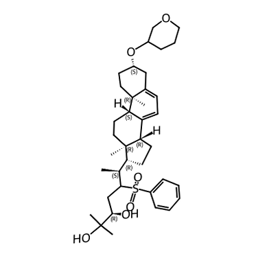 C[C@H](C(C[C@@H](O)C(C)(C)O)S(=O)(=O)c1ccccc1)[C@H]1CC[C@H]2C3=CC=C4C[C@@H](OC5CCCOC5)CC[C@]4(C)[C@H]3CC[C@]12C